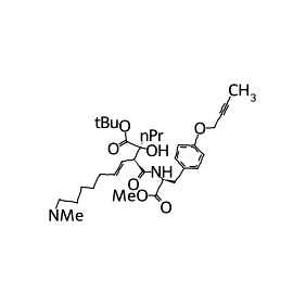 CC#CCOc1ccc(C[C@H](NC(=O)[C@@H](/C=C/CCCCCNC)[C@@](O)(CCC)C(=O)OC(C)(C)C)C(=O)OC)cc1